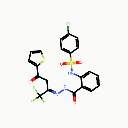 O=C(C/C(=N\NC(=O)c1ccccc1NS(=O)(=O)c1ccc(Cl)cc1)C(F)(F)F)c1cccs1